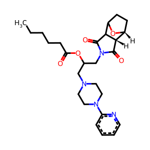 CCCCCC(=O)OC(CN1CCN(c2ccccn2)CC1)CN1C(=O)C2C3CC[C@@H](O3)[C@@H]2C1=O